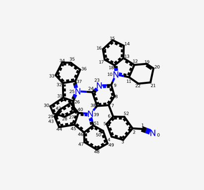 N#Cc1cccc(-c2cc(-n3c4c(c5ccccc53)C=CCC4)nc(-n3c4ccccc4c4ccccc43)c2-n2c3ccccc3c3ccccc32)c1